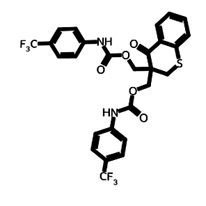 O=C(Nc1ccc(C(F)(F)F)cc1)OCC1(COC(=O)Nc2ccc(C(F)(F)F)cc2)CSc2ccccc2C1=O